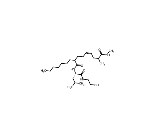 CCCCCCCC(CC/C=C\CC(C)C(=O)NC)C(=O)N[C@@H](CC(C)C)C(=O)NCCO